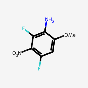 COc1cc(F)c([N+](=O)[O-])c(F)c1N